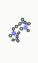 c1ccc(-c2nc(-c3ccccc3)nc(-n3c4ccccc4c4cc5c6ccccc6n(-c6ccc(-c7ccc(-c8cccc(-c9nc(-c%10ccccc%10)nc(-n%10c%11ccccc%11c%11cc%12c%13ccccc%13n(-c%13ccccc%13)c%12cc%11%10)n9)c8)cc7)cc6)c5cc43)n2)cc1